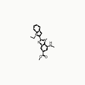 CCn1c(-c2nc3cc(C(=O)OC)cc(NC)c3n2C)cc2ccccc21